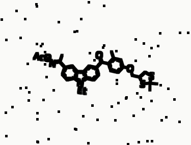 CCn1c2ccc(C(=O)c3ccc(OCC4CSC(C)(C)S4)cc3C)cc2c2cc(/C(C)=N/OC(C)=O)ccc21